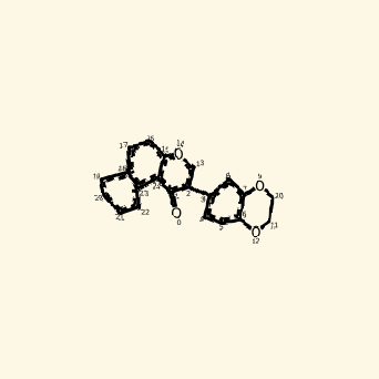 O=c1c(-c2ccc3c(c2)OCCO3)coc2ccc3ccccc3c12